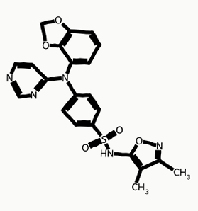 Cc1noc(NS(=O)(=O)c2ccc(N(c3ccncn3)c3cccc4c3OCO4)cc2)c1C